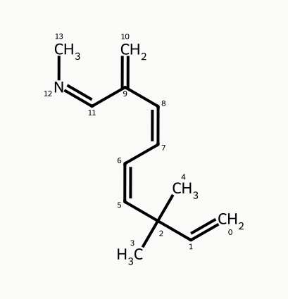 C=CC(C)(C)/C=C\C=C/C(=C)/C=N\C